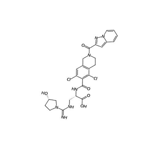 N=C(NC[C@H](NC(=O)c1c(Cl)cc2c(c1Cl)CCN(C(=O)c1cc3ccccn3n1)C2)C(=O)O)N1CC[C@H](O)C1